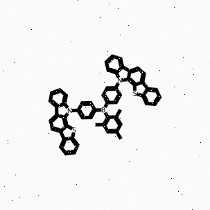 Cc1cc(C)c(B(c2ccc(-n3c4ccccc4c4ccc5c6ccccc6sc5c43)cc2)c2ccc(-n3c4ccccc4c4ccc5c6ccccc6sc5c43)cc2)c(C)c1